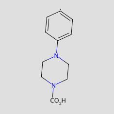 O=C(O)N1CCN(c2cc[c]cc2)CC1